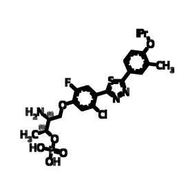 Cc1cc(-c2nnc(-c3cc(F)c(OC[C@H](N)[C@H](C)OP(=O)(O)O)cc3Cl)s2)ccc1OC(C)C